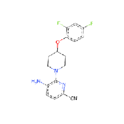 N#Cc1ccc(N)c(N2CCC(Oc3ccc(F)cc3F)CC2)n1